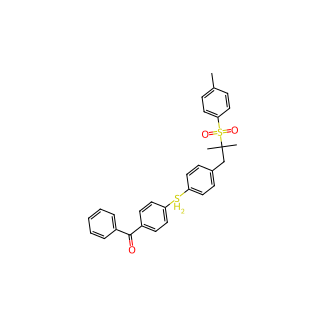 Cc1ccc(S(=O)(=O)C(C)(C)Cc2ccc([SH2]c3ccc(C(=O)c4ccccc4)cc3)cc2)cc1